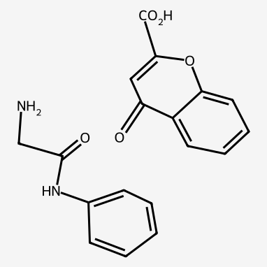 NCC(=O)Nc1ccccc1.O=C(O)c1cc(=O)c2ccccc2o1